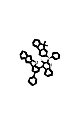 CC1(C)c2ccccc2-c2ccc(N(C3=Nc4ccccc4C(c4cc(-c5ccccc5)cc5c4oc4cc6ccccc6cc45)C3I)c3ccccc3)cc21